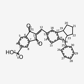 O=C(O)c1ccc2c(c1)C(=O)/C(=C\c1ccc3c(c1)C1CCCC1N3c1ccccc1)C2=O